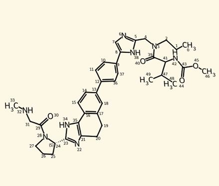 CCCN(Cc1ncc(-c2ccc(-c3ccc4c(c3)CCc3nc([C@@H]5CCCN5C(=O)CNC)[nH]c3-4)cc2)[nH]1)C(=O)C(NC(=O)OC)C(C)C